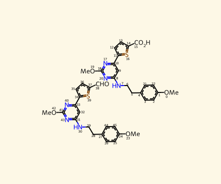 COc1ccc(CCNc2cc(-c3ccc(C(=O)O)s3)nc(OC)n2)cc1.COc1ccc(CCNc2cc(-c3ccc(C=O)s3)nc(OC)n2)cc1